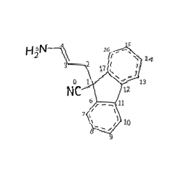 N#CC1(CC=CN)c2ccccc2-c2ccccc21